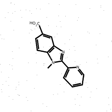 Cn1c(-c2ccccn2)nc2cc(C(=O)O)ccc21